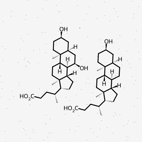 C[C@H](CCC(=O)O)[C@H]1CC[C@H]2[C@@H]3CC[C@@H]4C[C@H](O)CC[C@]4(C)[C@H]3CC[C@]12C.C[C@H](CCC(=O)O)[C@H]1CC[C@H]2[C@@H]3[C@H](O)C[C@@H]4C[C@H](O)CC[C@]4(C)[C@H]3CC[C@]12C